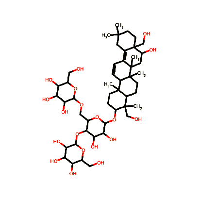 CC1(C)CCC2(CO)C(=C3C=CC4C5(C)CCC(OC6OC(COC7OC(CO)C(O)C(O)C7O)C(OC7OC(CO)C(O)C(O)C7O)C(O)C6O)C(C)(CO)C5CCC4(C)C3(C)CC2O)C1